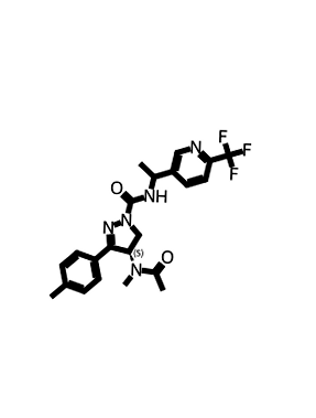 CC(=O)N(C)[C@H]1CN(C(=O)NC(C)c2ccc(C(F)(F)F)nc2)N=C1c1ccc(C)cc1